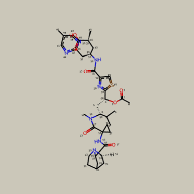 CC(=O)O[C@H](C[C@H](C(C)C)N(C)C(=O)C1(NC(=O)[C@H]2CC3CCN2CC3)CC1)c1nc(C(=O)N[C@@H](Cc2ncc(C)cn2)C[C@H](C)C(=O)O)cs1